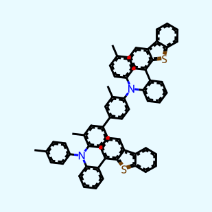 Cc1ccc(N(c2ccc(-c3ccc(N(c4ccc(C)cc4)c4ccccc4-c4cccc5c4sc4ccccc45)c(C)c3)cc2C)c2ccccc2-c2cccc3c2sc2ccccc23)cc1